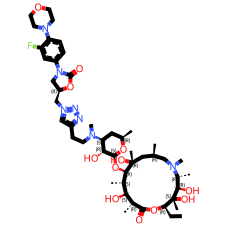 CC[C@H]1OC(=O)[C@H](C)[C@@H](O)[C@H](C)[C@@H](O[C@@H]2O[C@H](C)C[C@H](N(C)CCc3cn(C[C@H]4CN(c5ccc(N6CCOCC6)c(F)c5)C(=O)O4)nn3)[C@H]2O)[C@](C)(O)C[C@@H](C)CN(C)[C@H](C)[C@@H](O)[C@]1(C)O